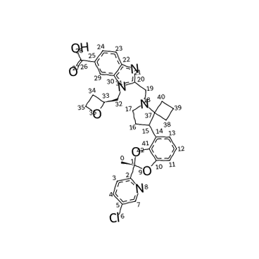 C[C@]1(c2ccc(Cl)cn2)Oc2cccc(C3CCN(Cc4nc5ccc(C(=O)O)cc5n4C[C@@H]4CCO4)C34CCC4)c2O1